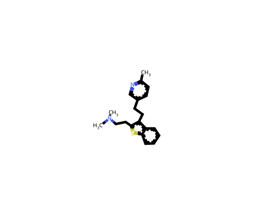 Cc1ccc(CCc2c(CCN(C)C)sc3ccccc23)cn1